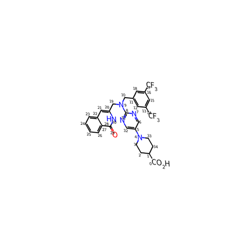 O=C(O)C1CCN(c2cnc(N(Cc3cc(C(F)(F)F)cc(C(F)(F)F)c3)Cc3cc4ccccc4c(=O)[nH]3)nc2)CC1